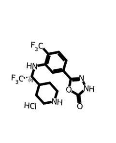 Cl.O=c1[nH]nc(-c2ccc(C(F)(F)F)c(N[C@H](C3CCNCC3)C(F)(F)F)c2)o1